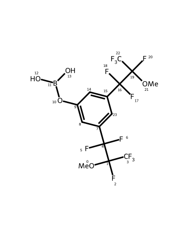 COC(F)(C(F)(F)F)C(F)(F)c1cc(OB(O)O)cc(C(F)(F)C(F)(OC)C(F)(F)F)c1